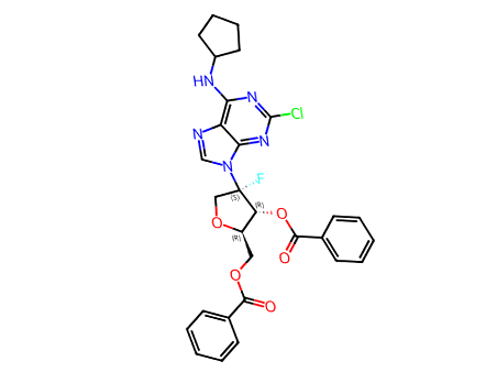 O=C(OC[C@H]1OC[C@@](F)(n2cnc3c(NC4CCCC4)nc(Cl)nc32)[C@@H]1OC(=O)c1ccccc1)c1ccccc1